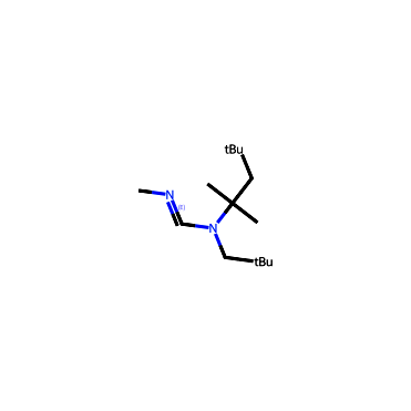 C/N=C/N(CC(C)(C)C)C(C)(C)CC(C)(C)C